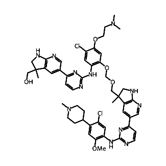 COc1cc(C2CCN(C)CC2)c(Cl)cc1Nc1nccc(-c2cnc3c(c2)C(C)(COCOc2cc(OCCN(C)C)c(Cl)cc2Nc2nccc(-c4cnc5c(c4)C(C)(CO)CN5)n2)CN3)n1